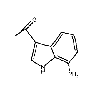 CC(=O)c1c[nH]c2c(N)cccc12